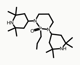 CCCP1(=O)N(C2CC(C)(C)NC(C)(C)C2)CCCN1C1CC(C)(C)NC(C)(C)C1